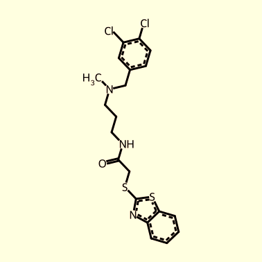 CN(CCCNC(=O)CSc1nc2ccccc2s1)Cc1ccc(Cl)c(Cl)c1